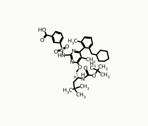 Cc1cccc(CC2CCCCC2)c1-c1nc(NS(=O)(=O)c2cccc(C(=O)O)c2)nc(OC[C@@H](CC(C)(C)C)NC(=O)OC(C)(C)C)c1C